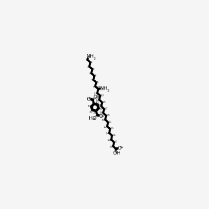 NCCCCCCCCCC(N)CCCCCCCCCCCCCCCCCC(=O)O.O=C(O)c1ccc(C(=O)O)cc1